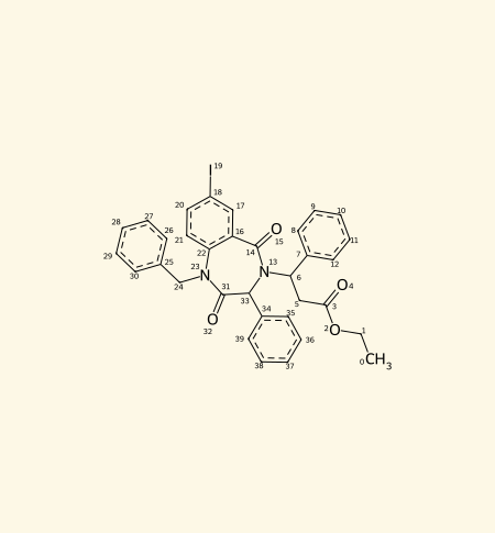 CCOC(=O)CC(c1ccccc1)N1C(=O)c2cc(I)ccc2N(Cc2ccccc2)C(=O)C1c1ccccc1